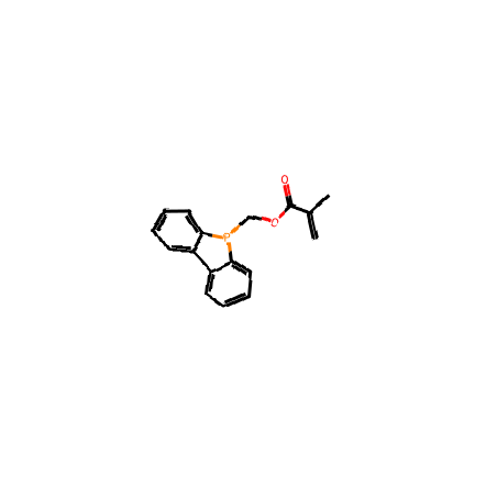 C=C(C)C(=O)OCp1c2ccccc2c2ccccc21